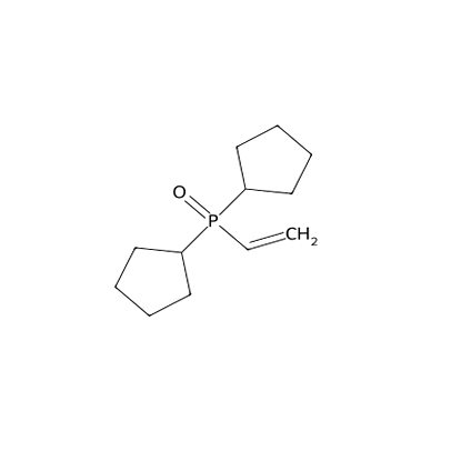 C=CP(=O)(C1CCCC1)C1CCCC1